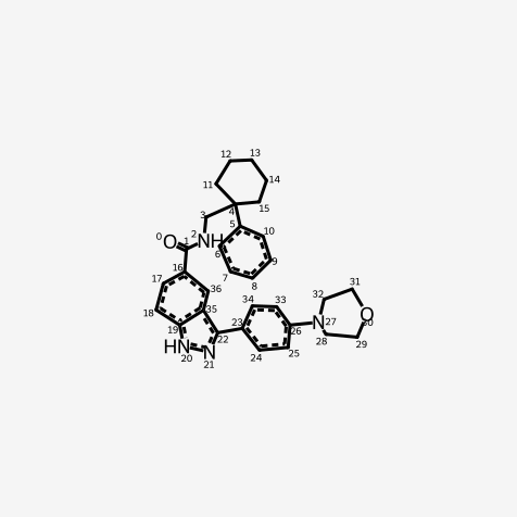 O=C(NCC1(c2ccccc2)CCCCC1)c1ccc2[nH]nc(-c3ccc(N4CCOCC4)cc3)c2c1